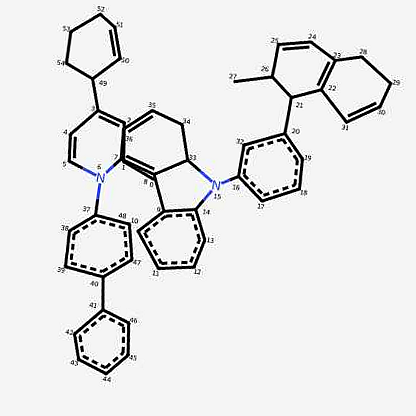 CC/C=C(\C=C/N(C1=C2c3ccccc3N(c3cccc(C4C5=C(C=CC4C)CCC=C5)c3)C2CC=C1)c1ccc(-c2ccccc2)cc1)C1C=CCCC1